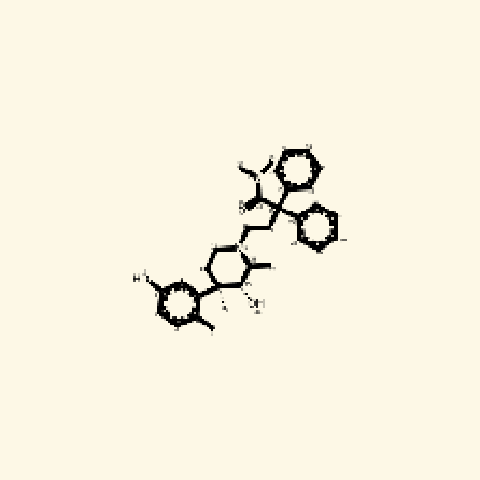 Cc1ccc(O)cc1[C@@]1(C)CCN(CCC(C(=O)N(C)C)(c2ccccc2)c2ccccc2)C(C)[C@@H]1O